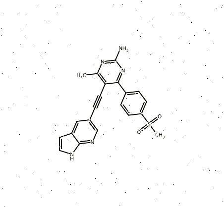 Cc1nc(N)nc(-c2ccc(S(C)(=O)=O)cc2)c1C#Cc1cnc2[nH]ccc2c1